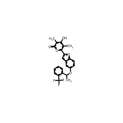 Cc1c(-c2cc3cc(OC(C)c4ccccc4C(F)(F)F)ccc3o2)oc(=O)c(C)c1O